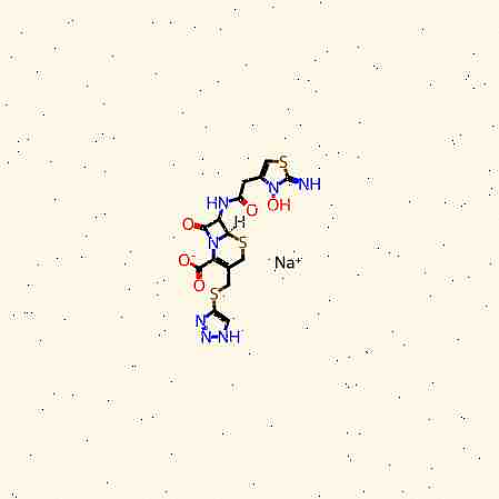 N=c1scc(CC(=O)NC2C(=O)N3C(C(=O)[O-])=C(CSc4c[nH]nn4)CS[C@H]23)n1O.[Na+]